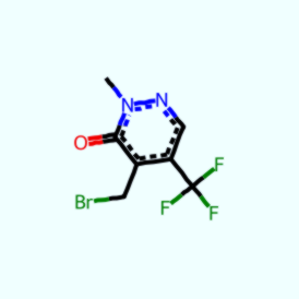 Cn1ncc(C(F)(F)F)c(CBr)c1=O